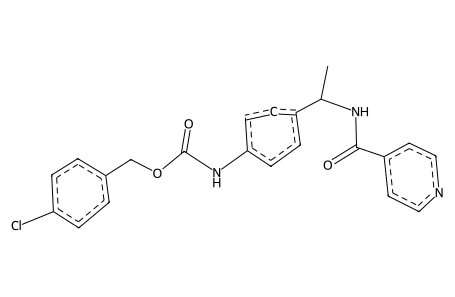 CC(NC(=O)c1ccncc1)c1ccc(NC(=O)OCc2ccc(Cl)cc2)cc1